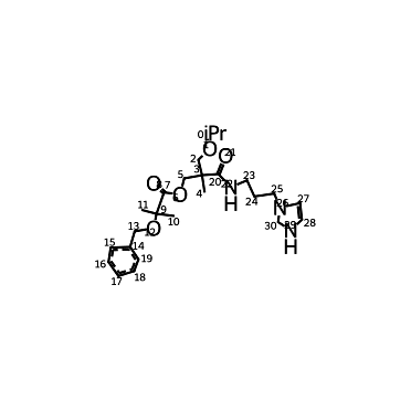 CC(C)OCC(C)(COC(=O)C(C)(C)OCc1ccccc1)C(=O)NCCCN1C=CNC1